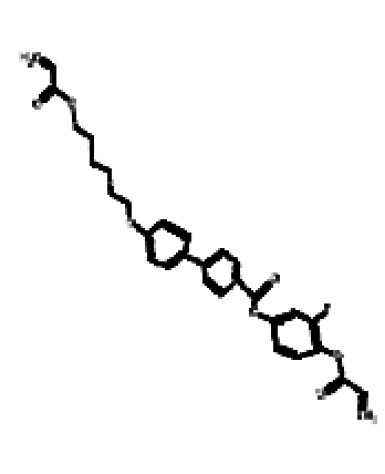 C=CC(=O)OCCCCCCOc1ccc(-c2ccc(C(=O)Oc3ccc(OC(=O)C=C)c(F)c3)cc2)cc1